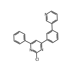 Clc1nc(-c2ccccc2)cc(-c2cccc(-c3cccnc3)c2)n1